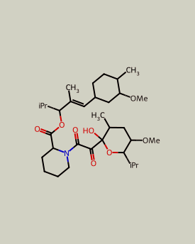 COC1CC(/C=C(\C)C(OC(=O)C2CCCCN2C(=O)C(=O)C2(O)OC(C(C)C)C(OC)CC2C)C(C)C)CCC1C